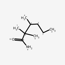 CCCC(C)C(C)(C)C(N)=O